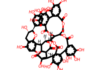 O=C1OC[C@H]2OC(=O)c3cc(O)c(O)c(O)c3-c3c(O)c(O)c(O)c4c3C(=O)O[C@H]([C@H]3OC(=O)[C@H]5C4=C(O)C(=O)C54Oc5cc(O)c6c(c5[C@@H]34)O[C@H](c3ccc(O)c(O)c3)[C@@H](O)C6)[C@@H]2OC(=O)c2cc(O)c(O)c(O)c2-c2c1cc(O)c(O)c2O